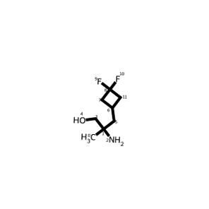 CC(N)(CO)CC1CC(F)(F)C1